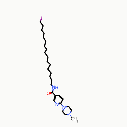 CN1CCN(c2ccc(C(=O)NCCCCCCCCCCCCCCCCCI)cn2)CC1